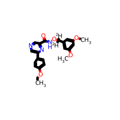 [2H]C([2H])(ONC(=O)c1cncc(-c2ccc(OCC)cc2)n1)c1cc(OC)cc(OC)c1